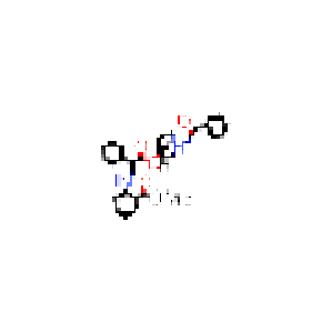 COC(=O)c1ccccc1NCC(C(=O)O[C@H]1C[N+]2(CC(=O)c3ccccc3)CCC1CC2)c1ccccc1